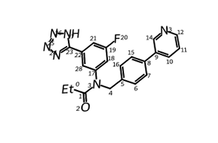 CCC(=O)N(Cc1ccc(-c2cccnc2)cc1)c1cc(F)cc(-c2nnn[nH]2)c1